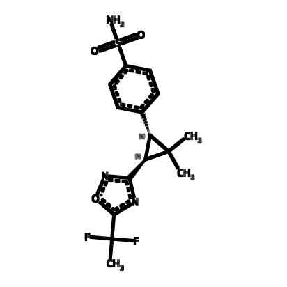 CC(F)(F)c1nc([C@H]2[C@H](c3ccc(S(N)(=O)=O)cc3)C2(C)C)no1